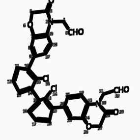 O=CCN1C(=O)COc2cc(-c3cccc(-c4cccc(-c5ccc6c(c5)OCC(=O)N6CC=O)c4Cl)c3Cl)ccc21